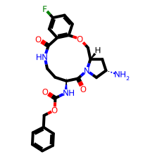 N[C@H]1C[C@H]2COc3ccc(F)cc3C(=O)NCC[C@H](NC(=O)OCc3ccccc3)C(=O)N2C1